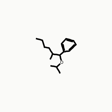 CCCCC(C)C(OC(C)C)c1ccccc1